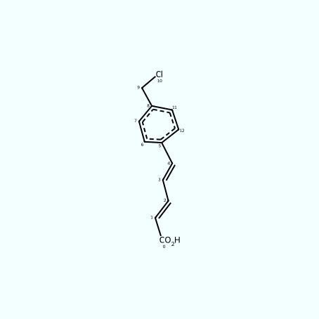 O=C(O)C=CC=Cc1ccc(CCl)cc1